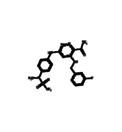 CN(c1ccc(Nc2cc(NCc3cccc(F)c3)c(C(N)=O)nn2)cc1)S(C)(=O)=O